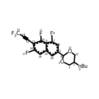 CCCCC1COC(c2cc(F)c3c(F)c(C#CC(F)(F)F)c(F)cc3c2)OC1